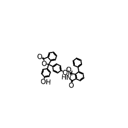 O=C1NC(=O)c2c1cccc2-c1ccccc1.O=C1OC(c2ccc(O)cc2)(c2ccc(O)cc2)c2ccccc21